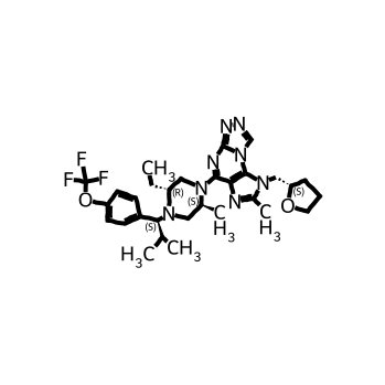 CC[C@@H]1CN(c2nc3nncn3c3c2nc(C)n3C[C@@H]2CCCO2)[C@@H](C)CN1[C@H](c1ccc(OC(F)(F)F)cc1)C(C)C